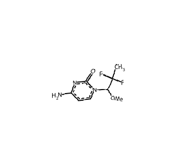 COC(n1ccc(N)nc1=O)C(C)(F)F